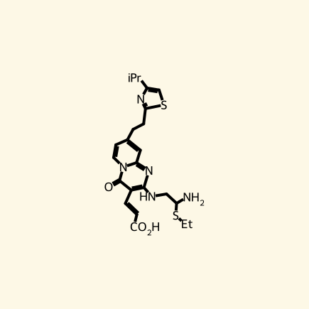 CCSC(N)CNc1nc2cc(CCc3nc(C(C)C)cs3)ccn2c(=O)c1/C=C/C(=O)O